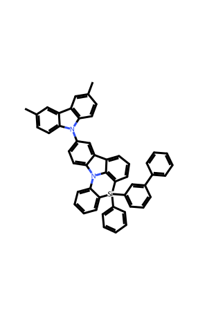 Cc1ccc2c(c1)c1cc(C)ccc1n2-c1ccc2c(c1)c1cccc3c1n2-c1ccccc1[Si]3(c1ccccc1)c1cccc(-c2ccccc2)c1